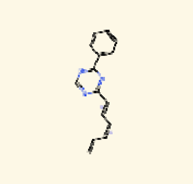 C=C/C=C\C=C\c1ncnc(-c2ccccc2)n1